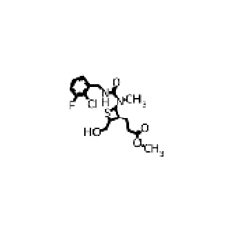 COC(=O)CC[C@H]1C(CO)SC1N(C)C(=O)NCc1cccc(F)c1Cl